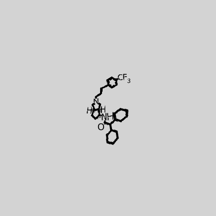 O=C(N[C@H]1CC[C@H]2CN(CCCc3ccc(C(F)(F)F)cc3)C[C@H]21)C(C1CCCCC1)C1CCCCC1